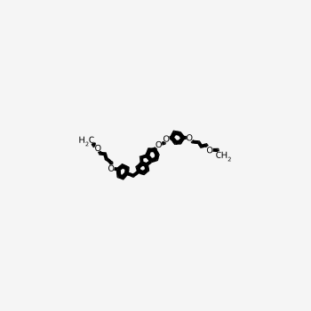 C=COCCCCOc1ccc(Cc2ccc3c(c2)Cc2cc(OCOc4ccc(OCCCCOC=C)cc4)ccc2-3)cc1